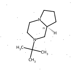 CC(C)(C)N1CCN2CCC[C@H]2C1